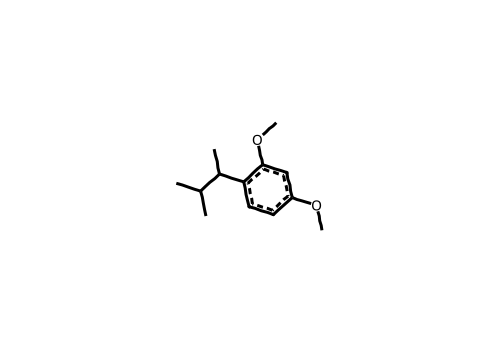 COc1ccc(C(C)C(C)C)c(OC)c1